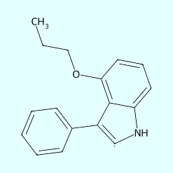 CCCOc1cccc2[nH][c]c(-c3ccccc3)c12